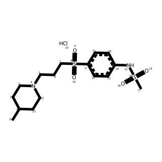 CC1CCN(CCCS(=O)(=O)c2ccc(NS(C)(=O)=O)cc2)CC1.Cl